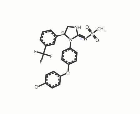 CS(=O)(=O)/N=C1\NC[C@H](c2cccc(C(F)(F)F)c2)N1c1ccc(Oc2ccc(Cl)cc2)cc1